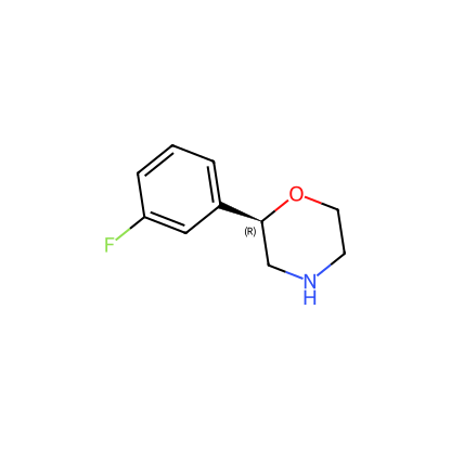 Fc1cccc([C@@H]2CNCCO2)c1